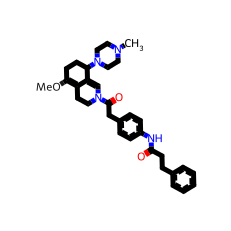 COC1=C2CCN(C(=O)Cc3ccc(NC(=O)CCc4ccccc4)cc3)C=C2C(N2CCN(C)CC2)CC1